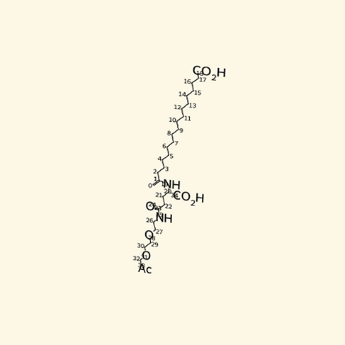 C=C(CCCCCCCCCCCCCCCCC(=O)O)N[C@@H](CCC(=O)NCCOCCOCC(C)=O)C(=O)O